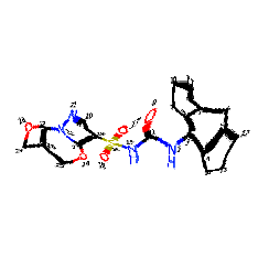 O=C(Nc1c2c(cc3c1CCC3)CCC2)NS(=O)(=O)c1cnn2c1OCC1=C2OC1